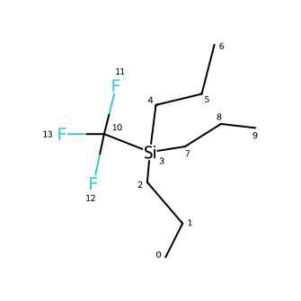 CCC[Si](CCC)(CCC)C(F)(F)F